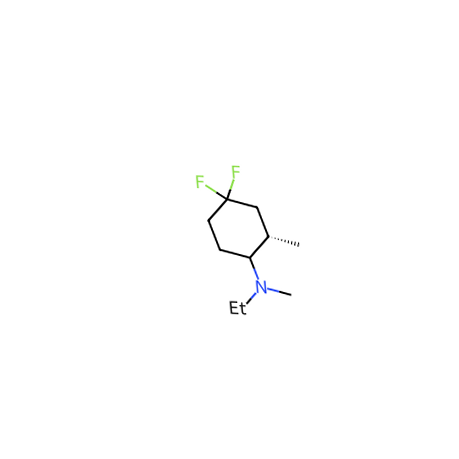 CCN(C)C1CCC(F)(F)C[C@@H]1C